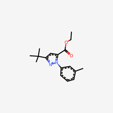 CCOC(=O)c1cc(C(C)(C)C)nn1-c1cccc(C)c1